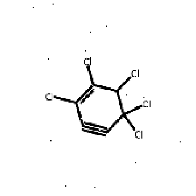 ClC1=C(Cl)C(Cl)C(Cl)(Cl)C#C1